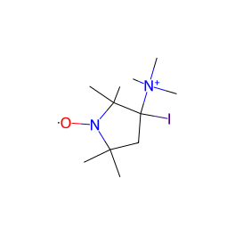 CC1(C)CC(I)([N+](C)(C)C)C(C)(C)N1[O]